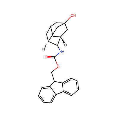 O=C(NC1[C@@H]2CC3C[C@H]1CC(O)(C3)C2)OCC1c2ccccc2-c2ccccc21